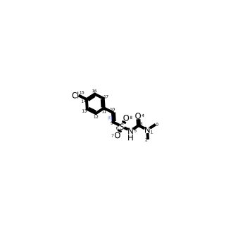 CN(C)C(=O)NS(=O)(=O)/C=C/c1ccc(Cl)cc1